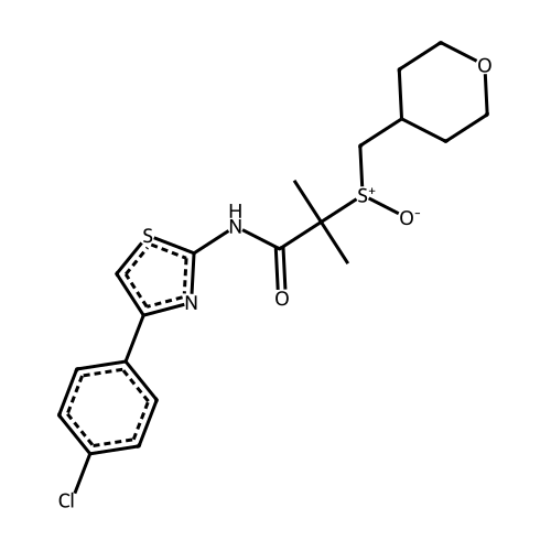 CC(C)(C(=O)Nc1nc(-c2ccc(Cl)cc2)cs1)[S+]([O-])CC1CCOCC1